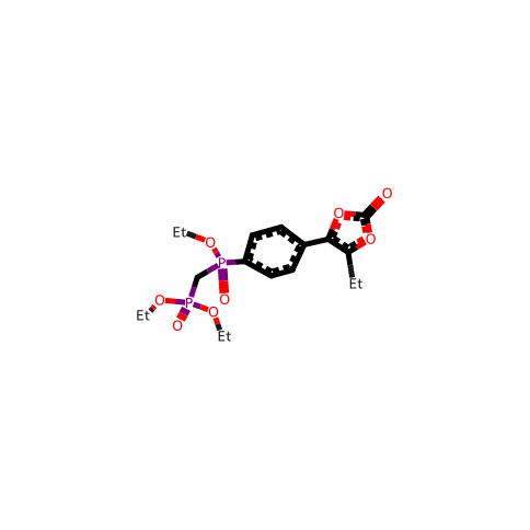 CCOP(=O)(CP(=O)(OCC)c1ccc(-c2oc(=O)oc2CC)cc1)OCC